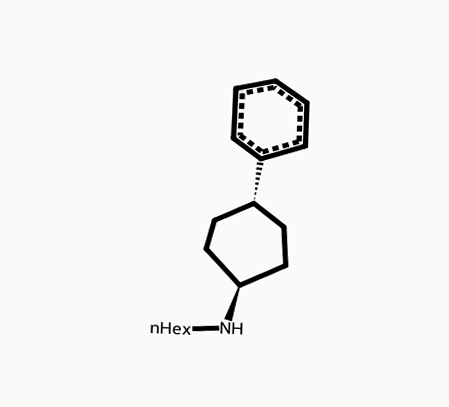 CCCCCCN[C@H]1CC[C@H](c2ccccc2)CC1